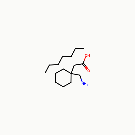 CCCCCCC.NCC1(CC(=O)O)CCCCC1